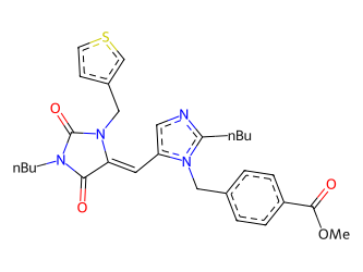 CCCCc1ncc(C=C2C(=O)N(CCCC)C(=O)N2Cc2ccsc2)n1Cc1ccc(C(=O)OC)cc1